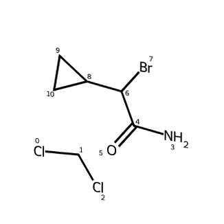 ClCCl.NC(=O)C(Br)C1CC1